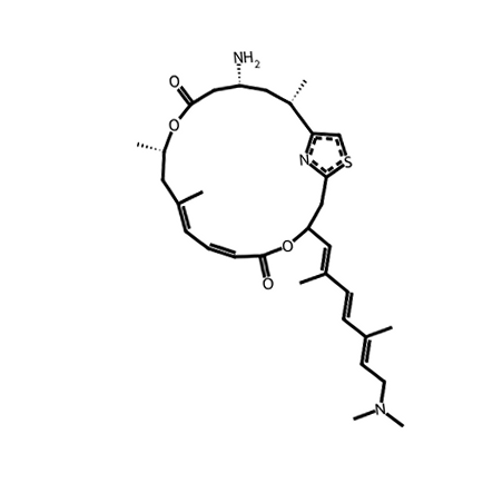 CC(/C=C/C(C)=C/C1Cc2nc(cs2)[C@@H](C)C[C@@H](N)CC(=O)O[C@@H](C)C/C(C)=C/C=C\C(=O)O1)=C\CN(C)C